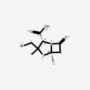 CC1(CBr)S[C@@H]2CC(=O)N2[C@H]1C(=O)O